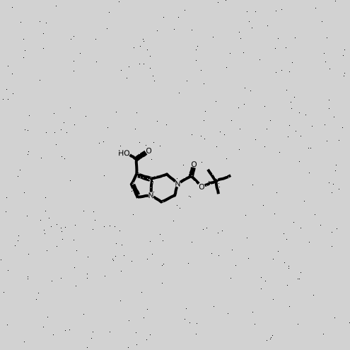 CC(C)(C)OC(=O)N1CCn2ccc(C(=O)O)c2C1